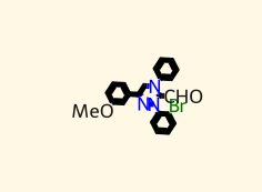 COc1cccc(C2=NN(c3ccccc3Br)C(C=O)N(c3ccccc3)C2)c1